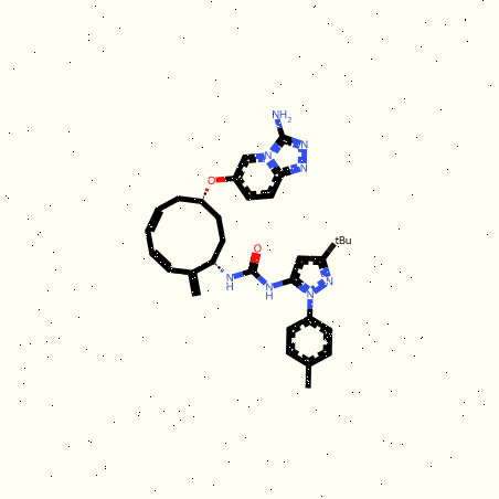 C=C1/C=C\C=C/C[C@H](Oc2ccc3nnc(N)n3c2)CC[C@@H]1NC(=O)Nc1cc(C(C)(C)C)nn1-c1ccc(C)cc1